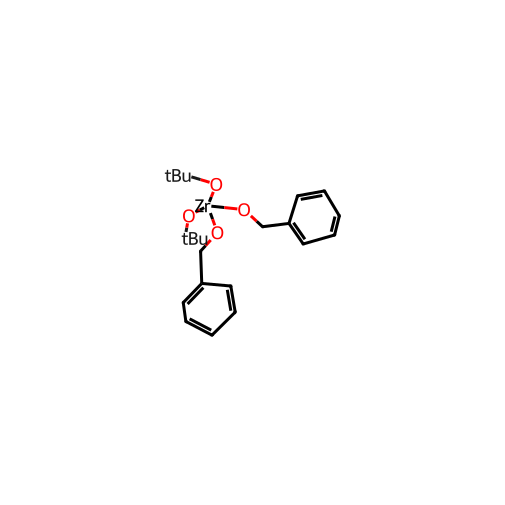 CC(C)(C)[O][Zr]([O]Cc1ccccc1)([O]Cc1ccccc1)[O]C(C)(C)C